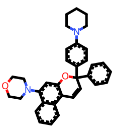 C1=CC(c2ccccc2)(c2ccc(N3CCCCC3)cc2)Oc2cc(N3CCOCC3)c3ccccc3c21